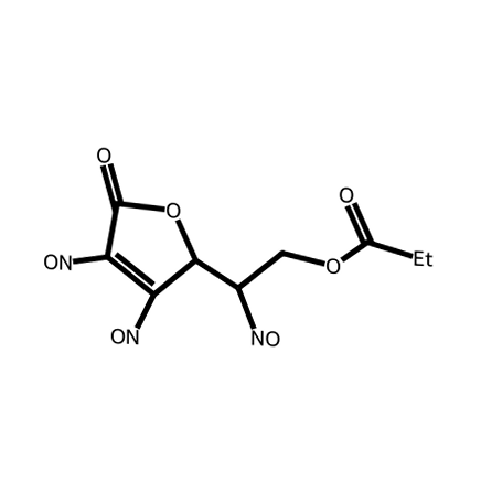 CCC(=O)OCC(N=O)C1OC(=O)C(N=O)=C1N=O